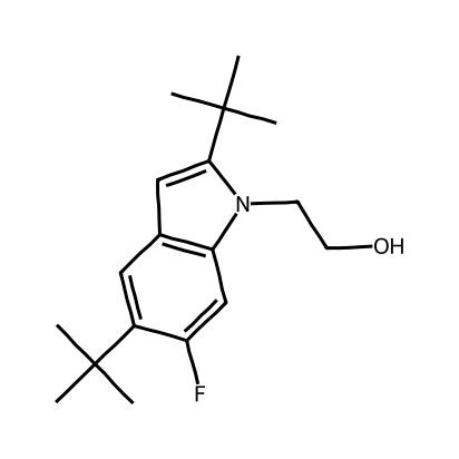 CC(C)(C)c1cc2cc(C(C)(C)C)n(CCO)c2cc1F